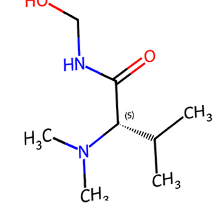 CC(C)[C@@H](C(=O)NCO)N(C)C